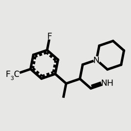 CC(c1cc(F)cc(C(F)(F)F)c1)C(C=N)CN1CCCCC1